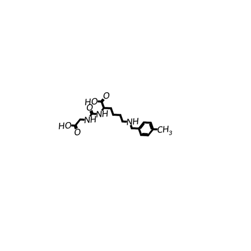 Cc1ccc(CNCCCCC(NC(=O)NCC(=O)O)C(=O)O)cc1